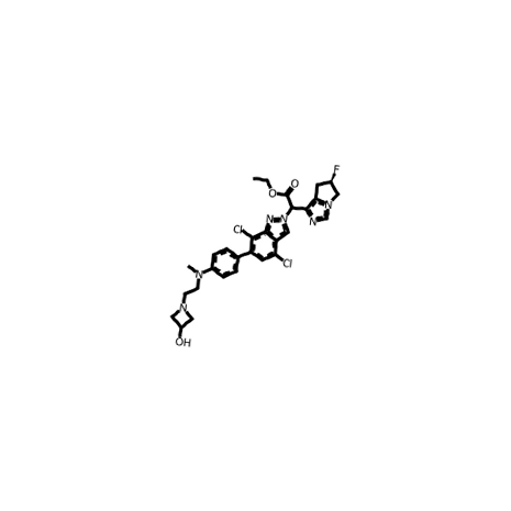 CCOC(=O)C(c1ncn2c1C[C@@H](F)C2)n1cc2c(Cl)cc(-c3ccc(N(C)CCN4CC(O)C4)cc3)c(Cl)c2n1